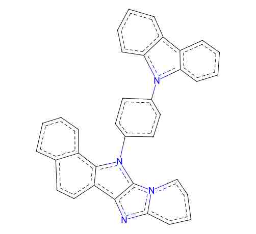 c1ccc2c(c1)ccc1c3nc4ccccn4c3n(-c3ccc(-n4c5ccccc5c5ccccc54)cc3)c21